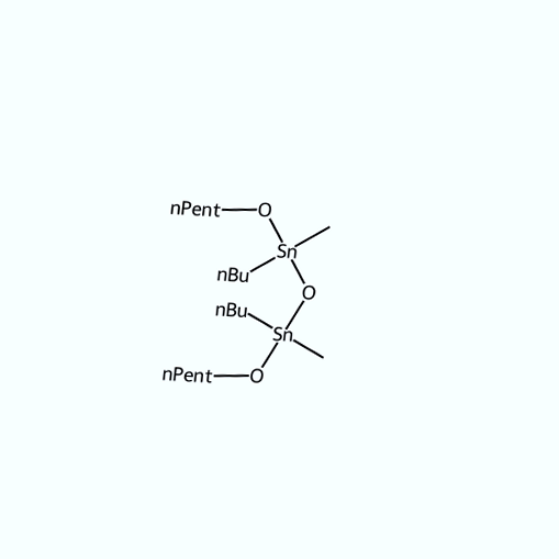 CCCCC[O][Sn]([CH3])([CH2]CCC)[O][Sn]([CH3])([CH2]CCC)[O]CCCCC